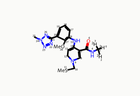 [2H]C([2H])([2H])NC(=O)C1=CN(CSC)CC=C1Nc1cccc(-c2nnn(C)n2)c1OC